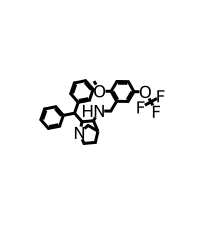 COc1ccc(OC(F)(F)F)cc1CNC1C2CCN(C2)C1C(c1ccccc1)c1ccccc1